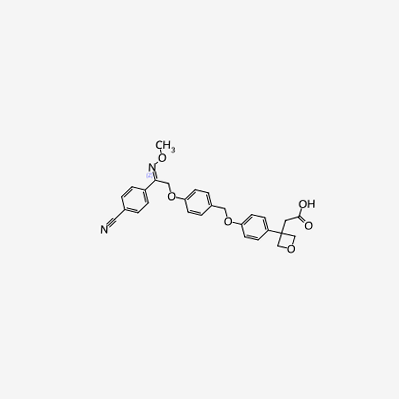 CO/N=C(\COc1ccc(COc2ccc(C3(CC(=O)O)COC3)cc2)cc1)c1ccc(C#N)cc1